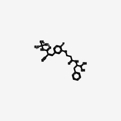 CC(C)(C)NC(=O)C(C#N)=Cc1ccc(F)c(OCCC(=O)NC(Cc2ccccc2)B(O)O)c1